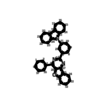 c1ccc(-c2nc(-c3cccc(-n4c5ccccc5c5ccccc54)c3)nc3c2oc2ccccc23)cc1